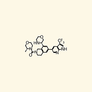 C[C@H]1COCCN1C(=O)N1CCc2cc(-c3cnc4[nH]cc(C(F)(F)F)c4c3)cc([C@@H]3COCCN3)c2C1